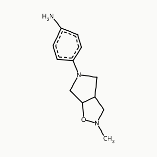 CN1CC2CN(c3ccc(N)cc3)CC2O1